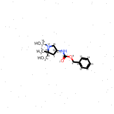 C[C@@]1(C(=O)O)C[C@H](NC(=O)OCc2ccccc2)CN1C(=O)O